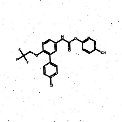 O=C(Nc1cnc(OCC(F)(F)F)c(-c2ccc(Cl)cc2)c1)Oc1ccc(O)cn1